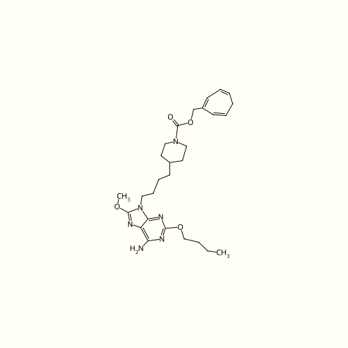 CCCCOc1nc(N)c2nc(OC)n(CCCCC3CCN(C(=O)OCC4=CC=CCC=C4)CC3)c2n1